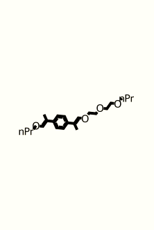 CCCOC=C(C)c1ccc(C(C)=COCCOCCOCCC)cc1